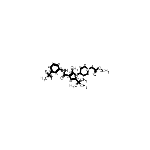 COC(=O)CN1CCC(n2c(C(C)(C)C)cc(C(=O)Nc3cccc(C(C)(F)F)c3)c2C)CC1